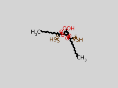 CCCCCCCCCCCCC(CSC(=S)S)C(=O)Oc1cc(OC(=O)C(CCCCCCCCCCCC)CSC(=S)S)cc(C(=O)O)c1